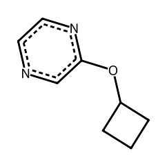 c1cnc(OC2CCC2)cn1